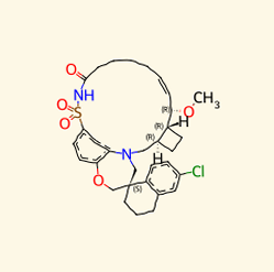 CO[C@H]1C=CCCCCC(=O)NS(=O)(=O)c2ccc3c(c2)N(C[C@@H]2CC[C@H]21)C[C@@]1(CCCc2cc(Cl)ccc21)CO3